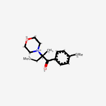 COCC(C)(C(=O)c1ccc(SC)cc1)N1CCOCC1